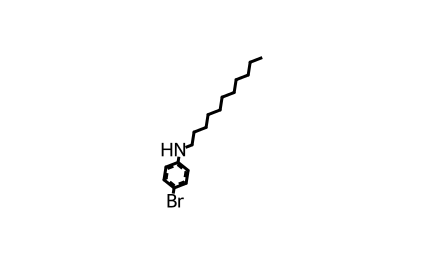 CCCCCCCCCCCNc1ccc(Br)cc1